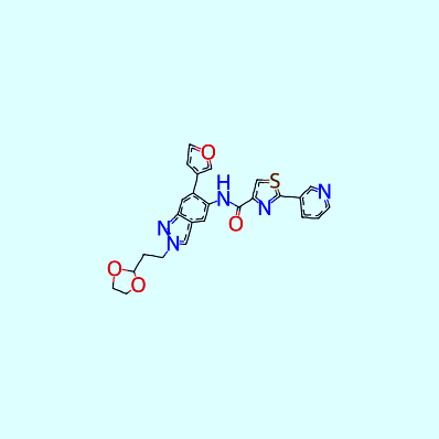 O=C(Nc1cc2cn(CCC3OCCO3)nc2cc1-c1ccoc1)c1csc(-c2cccnc2)n1